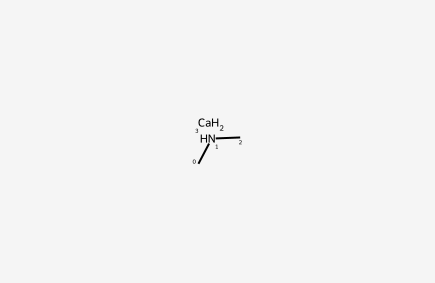 CNC.[CaH2]